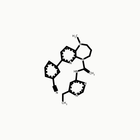 C=C(Nc1cc(CC)ncn1)N1CCCN(C)c2ccc(-c3cccc(C#N)c3)nc21